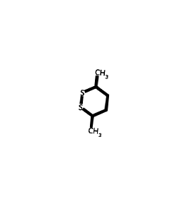 CC1CCC(C)SS1